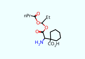 CCCC(=O)OC(CC)OC(=O)C(N)C1(C(=O)O)CCCCC1